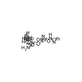 C=C(/C=C(\C=C\C(=O)N[C@H](CC(C)C)CN(C)C)N(C)C)c1cccc(CN2O[C@@H](CN)[C@@H]([C@H](C)O)[C@H]2C(=O)N[C@H]2C[C@H]3C[C@@H]([C@@H]2C)C3(C)C)c1OC